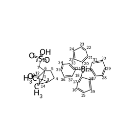 CC1(C)C2CCC1(CS(=O)(=O)O)C(=O)C2.c1cc[c]([Bi]([c]2ccccc2)([c]2ccccc2)[c]2ccccc2)cc1